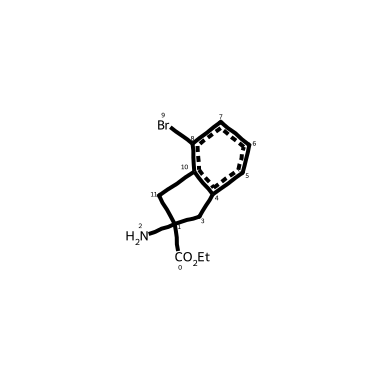 CCOC(=O)C1(N)Cc2cccc(Br)c2C1